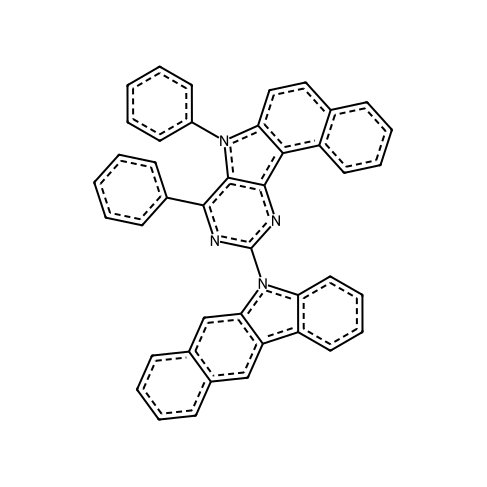 c1ccc(-c2nc(-n3c4ccccc4c4cc5ccccc5cc43)nc3c4c5ccccc5ccc4n(-c4ccccc4)c23)cc1